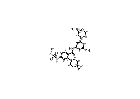 Cc1cc(NC(=O)c2ccc(NS(=O)(=O)CF)cc2N2CCC3(CC2)CC3)nc(N2CCO[C@H](C)C2)c1